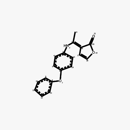 CC(Nc1ccc(Oc2ccccc2)cc1)=C1C=COC1=O